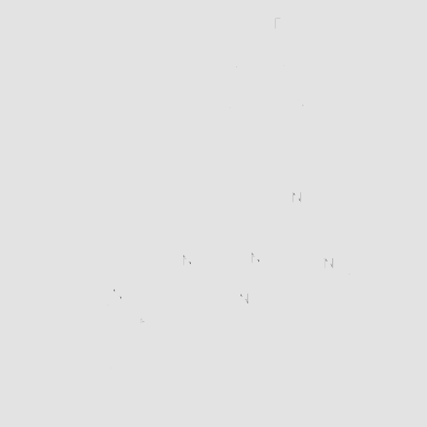 Nc1nc2c3c(ccc2c2nc(C[C@@H](N)C4CC4)nn12)OC(F)(F)O3